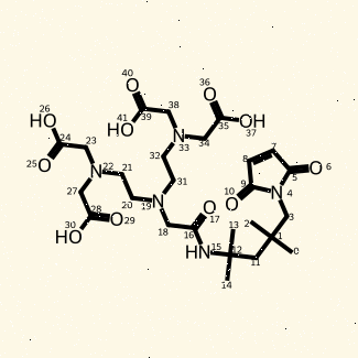 CC(C)(CN1C(=O)C=CC1=O)CC(C)(C)NC(=O)CN(CCN(CC(=O)O)CC(=O)O)CCN(CC(=O)O)CC(=O)O